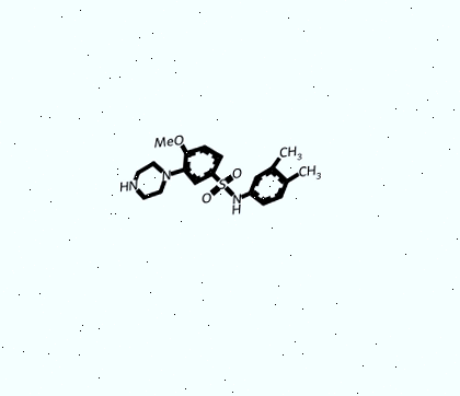 COc1ccc(S(=O)(=O)Nc2ccc(C)c(C)c2)cc1N1CCNCC1